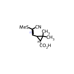 CS/C(C#N)=C/C1[C@@H](C(=O)O)C1(C)C